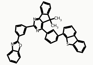 CC1(C)c2ccccc2-c2nc(-c3cccc(-c4nc5ccccc5o4)c3)nc(-c3cccc(-c4cccc5c4sc4ccccc45)c3)c21